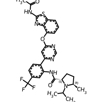 CC(=O)Nc1nc2c(Oc3cc(-c4ccc(C(F)(F)F)cc4NC(=O)[C@@H]4CC[C@@H](C)N4C(C)C)ncn3)cccc2s1